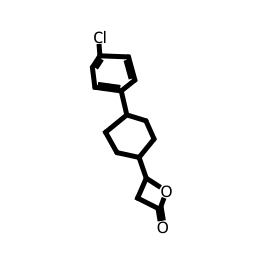 O=C1CC(C2CCC(c3ccc(Cl)cc3)CC2)O1